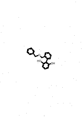 Oc1cccc(O)c1-c1ccccc1COCc1ccccc1